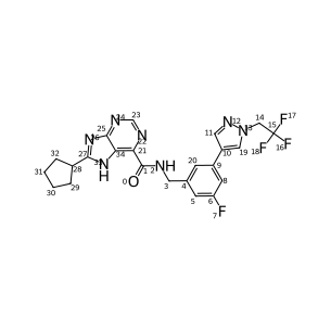 O=C(NCc1cc(F)cc(-c2cnn(CC(F)(F)F)c2)c1)c1ncnc2nc(C3CCCC3)[nH]c12